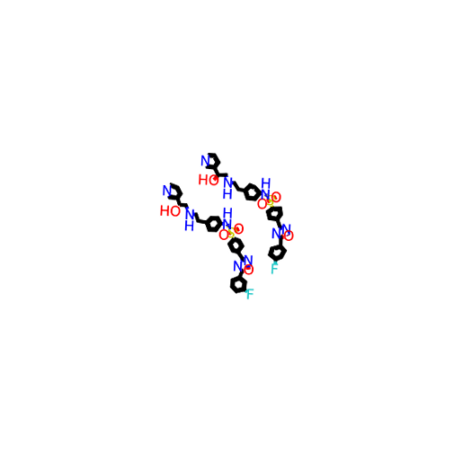 O=S(=O)(Nc1ccc(CCNCC(O)c2cccnc2)cc1)c1ccc(-c2noc(-c3ccc(F)cc3)n2)cc1.O=S(=O)(Nc1ccc(CCNCC(O)c2cccnc2)cc1)c1ccc(-c2noc(-c3cccc(F)c3)n2)cc1